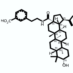 C=C(C)[C@@H]1CC[C@]2(C(=O)NCCc3cccc(C(=O)O)c3)CC[C@]3(C)[C@H](CC[C@@H]4[C@@]5(C)CC[C@H](O)C(C)(C)[C@@H]5CC[C@]43C)[C@@H]12